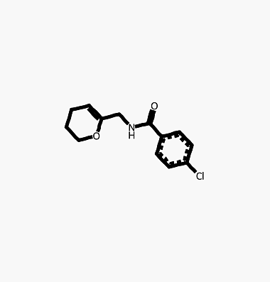 O=C(NCC1=CCCCO1)c1ccc(Cl)cc1